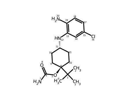 CC(C)(C)[C@]1(OC(N)=O)CC[C@H](Nc2cc(Cl)ccc2N)CC1